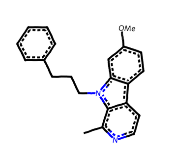 COc1ccc2c3ccnc(C)c3n(CCCc3ccccc3)c2c1